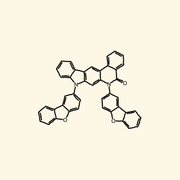 O=c1c2ccccc2c2cc3c4ccccc4n(-c4ccc5oc6ccccc6c5c4)c3cc2n1-c1ccc2oc3ccccc3c2c1